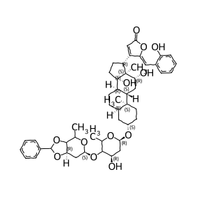 CC1O[C@@H](O[C@H]2CC[C@@]3(C)[C@H](CC[C@@H]4[C@@H]3C[C@@H](O)[C@]3(C)[C@@H](C5=CC(=O)OC5=Cc5ccccc5O)CC[C@]43O)C2)C[C@@H](O)C1O[C@H]1C[C@H]2OC(c3ccccc3)OC2C(C)O1